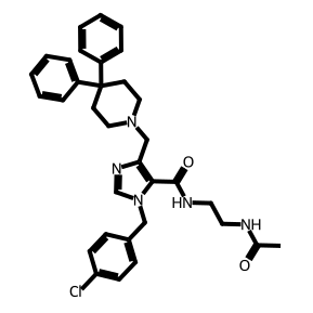 CC(=O)NCCNC(=O)c1c(CN2CCC(c3ccccc3)(c3ccccc3)CC2)ncn1Cc1ccc(Cl)cc1